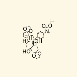 CN(C(=O)OC(C)(C)C)c1ccc([C@@]2(O)C[C@@]3(C)[C@@H](CCC34OCCO4)[C@@H]3CC[C@@]4(O)CC5(CC[C@]4(C)[C@H]32)OCCO5)cc1